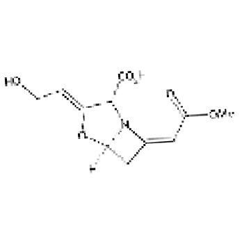 COC(=O)/C=C1/C[C@H]2O/C(=C\CO)[C@H](C(=O)O)N12